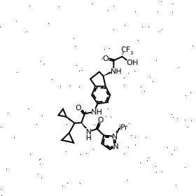 CC(C)n1nccc1C(=O)N[C@H](C(=O)Nc1ccc2c(c1)CC[C@H]2NC(=O)[C@@H](O)C(F)(F)F)C(C1CC1)C1CC1